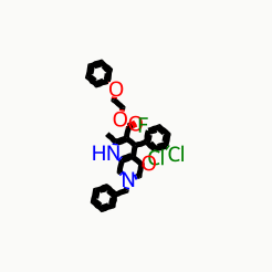 CC1=C(C(=O)OCCOc2ccccc2)C(c2c(F)ccc(Cl)c2Cl)C2=C(CN(Cc3ccccc3)CC2=O)N1